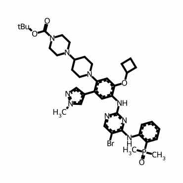 Cn1cc(-c2cc(Nc3ncc(Br)c(Nc4ccccc4P(C)(C)=O)n3)c(OC3CCC3)cc2N2CCC(N3CCN(C(=O)OC(C)(C)C)CC3)CC2)cn1